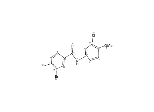 COc1ccc(NC(=O)c2ccc(C)c(Br)c2)cc1Cl